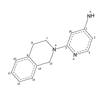 [NH]c1ccnc(N2CCc3ccccc3C2)c1